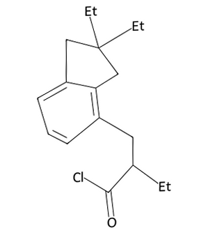 CCC(Cc1cccc2c1CC(CC)(CC)C2)C(=O)Cl